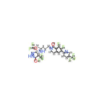 O=c1[nH]ncc(NC(CCCn2ccc3cc(-c4ccc(C(F)(F)F)cn4)c(F)c(F)c3c2=O)COC(F)F)c1C(F)(F)F